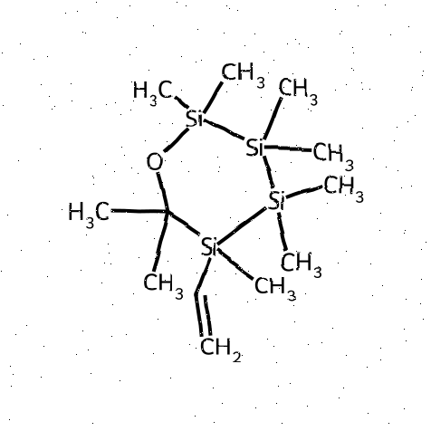 C=C[Si]1(C)C(C)(C)O[Si](C)(C)[Si](C)(C)[Si]1(C)C